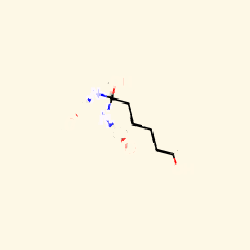 O=C=NC(O)(CCCCCO)N=C=O